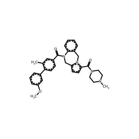 COc1cccc(-c2ccc(C(=O)N3Cc4ccc(C(=O)N5CCN(C)CC5)n4Cc4ccccc43)cc2C)c1